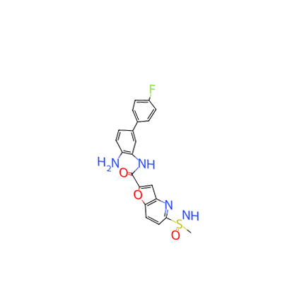 CS(=N)(=O)c1ccc2oc(C(=O)Nc3cc(-c4ccc(F)cc4)ccc3N)cc2n1